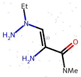 CCN(N)/C=C(\N)C(=O)NC